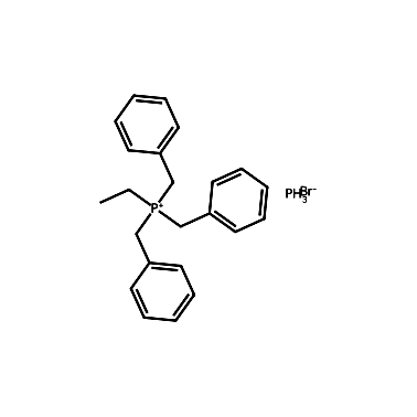 CC[P+](Cc1ccccc1)(Cc1ccccc1)Cc1ccccc1.P.[Br-]